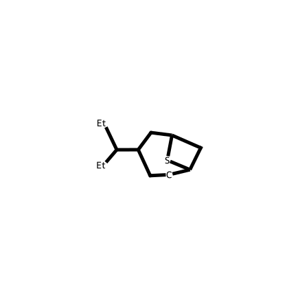 CCC(CC)C1CCC2CC(C1)S2